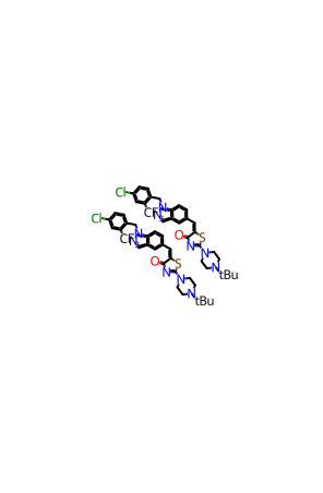 CC(C)(C)N1CCN(C2=NC(=O)C(=Cc3ccc4c(cnn4Cc4ccc(Cl)cc4C(F)(F)F)c3)S2)CC1.CC(C)(C)N1CCN(C2=NC(=O)C(=Cc3ccc4c(cnn4Cc4ccc(Cl)cc4C(F)(F)F)c3)S2)CC1